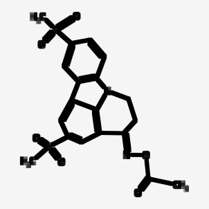 CC(=O)O/N=C1\CCn2c3ccc(S(C)(=O)=O)cc3c3cc(S(C)(=O)=O)cc1c32